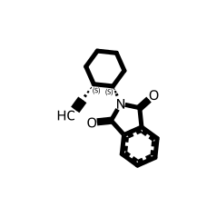 C#C[C@@H]1CCCC[C@@H]1N1C(=O)c2ccccc2C1=O